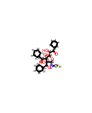 O=C(c1ccccc1)C(O)[C@H]1O[C@@H](N=C=S)[C@@](O)(C(=O)c2ccccc2)[C@@]1(O)C(=O)c1ccccc1